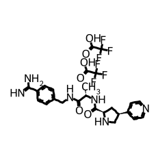 C[C@H](NC(=O)[C@H]1C[C@@H](c2ccncc2)CN1)C(=O)NCc1ccc(C(=N)N)cc1.O=C(O)C(F)(F)F.O=C(O)C(F)(F)F